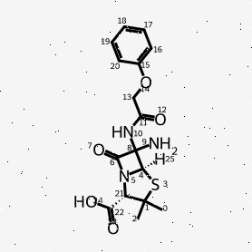 CC1(C)S[C@H]2N(C(=O)C2(N)NC(=O)COc2ccccc2)[C@H]1C(=O)O